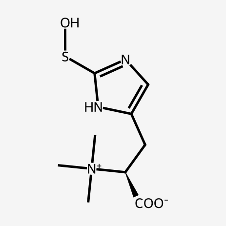 C[N+](C)(C)[C@@H](Cc1cnc(SO)[nH]1)C(=O)[O-]